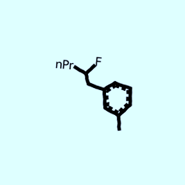 CCCC(F)Cc1cccc(C)c1